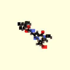 CN(C)C(=O)c1cc(CNC(=O)OC(C)(C)C)nn1[C@H]1C[C@H](O)C1